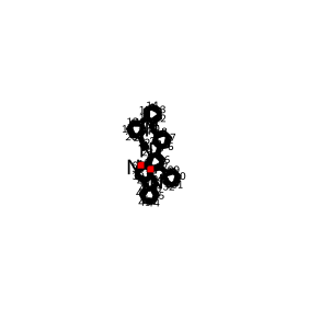 N#Cc1cc(-c2cccc(-n3c4ccccc4c4cccc(C#N)c43)c2)cc(-c2ccccc2-n2c3ccccc3c3ccccc32)c1